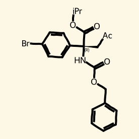 CC(=O)C[C@](NC(=O)OCc1ccccc1)(C(=O)OC(C)C)c1ccc(Br)cc1